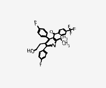 CC(C)c1nc(-c2ccc(F)cc2)c(CCO)c(-c2ccc(F)cc2)c1C(=O)c1ccc(C(F)(F)F)cc1